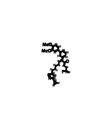 C=C(F)CCC(=O)N(CCCCCc1nc(C2CC2)no1)c1cccc(-c2ccc(OC)c(OC)c2)c1